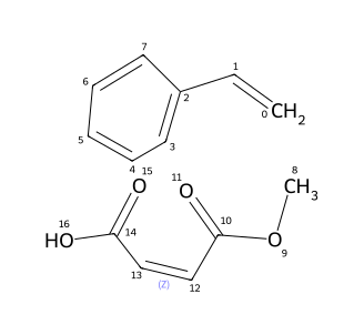 C=Cc1ccccc1.COC(=O)/C=C\C(=O)O